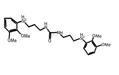 COc1cccc([SiH2]CCCNC(=O)NCCC[SiH2]c2cccc(OC)c2OC)c1OC